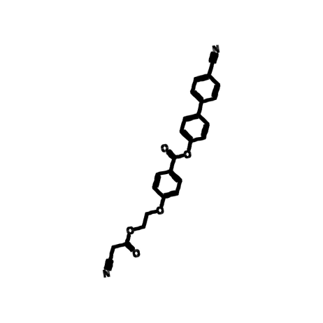 N#CCC(=O)OCCOc1ccc(C(=O)Oc2ccc(-c3ccc(C#N)cc3)cc2)cc1